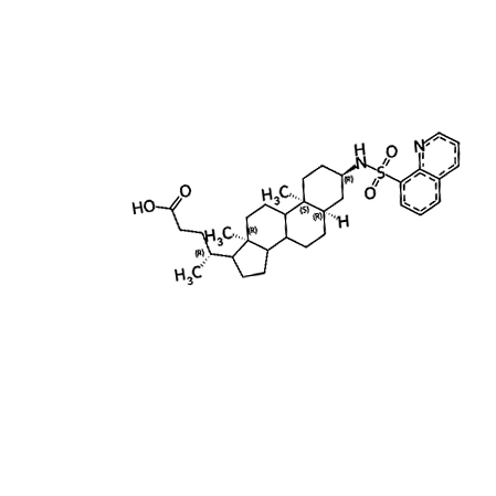 C[C@H](CCC(=O)O)C1CCC2C3CC[C@@H]4C[C@H](NS(=O)(=O)c5cccc6cccnc56)CC[C@]4(C)C3CC[C@@]21C